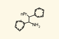 CCCC(c1ccccc1)C(N)c1[c]cccc1